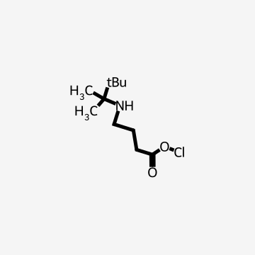 CC(C)(C)C(C)(C)NCCCC(=O)OCl